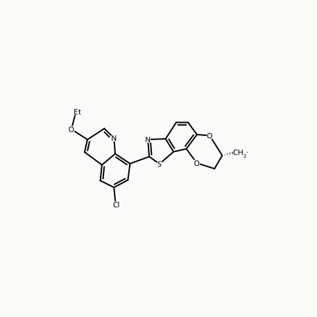 [CH2][C@@H]1COc2c(ccc3nc(-c4cc(Cl)cc5cc(OCC)cnc45)sc23)O1